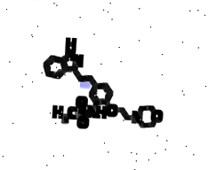 CS(=O)(=O)Nc1cc(/C=C/c2n[nH]c3ccccc23)ccc1OCCN1CCOCC1